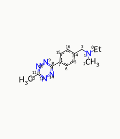 CCN(C)Cc1ccc(-c2nnc(C)nn2)cc1